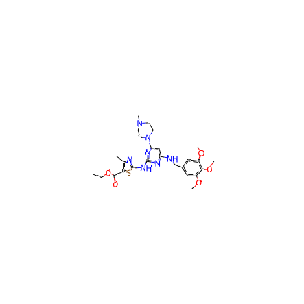 CCOC(=O)c1sc(Nc2nc(NCc3cc(OC)c(OC)c(OC)c3)cc(N3CCN(C)CC3)n2)nc1C